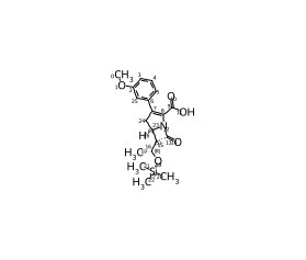 COc1cccc(C2=C(C(=O)O)N3C(=O)[C@H]([C@@H](C)O[Si](C)(C)C)[C@H]3C2)c1